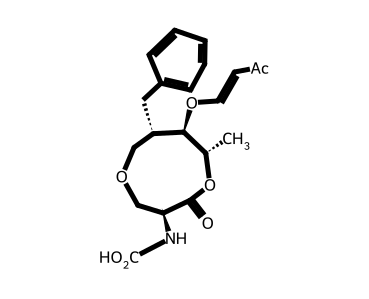 CC(=O)C=CO[C@@H]1[C@@H](Cc2ccccc2)COC[C@H](NC(=O)O)C(=O)O[C@H]1C